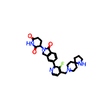 O=C1CCC(N2Cc3cc(-c4nccc(CN5CCC6(CCCN6)CC5)c4F)ccc3C2=O)C(=O)N1